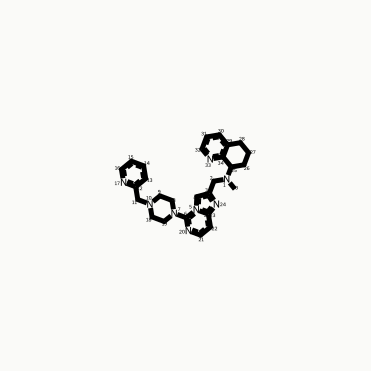 CN(Cc1cn2c(N3CCN(Cc4ccccn4)CC3)nccc2n1)C1CCCc2cccnc21